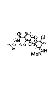 CNNc1cc(Cl)c(Oc2ccc3c(c2)CCN(CC2CC2)C3=O)c(Cl)c1